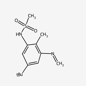 C=Nc1cc(C(C)(C)C)cc(NS(C)(=O)=O)c1C